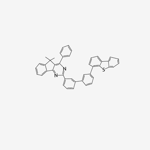 CC1(C)c2ccccc2-c2nc(-c3cccc(-c4cccc(-c5cccc6c5sc5ccccc56)c4)c3)nc(-c3ccccc3)c21